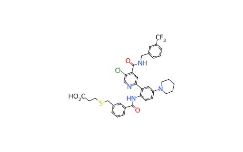 O=C(O)CCSCc1cccc(C(=O)Nc2ccc(N3CCCCC3)cc2-c2cc(C(=O)NCc3cccc(C(F)(F)F)c3)c(Cl)cn2)c1